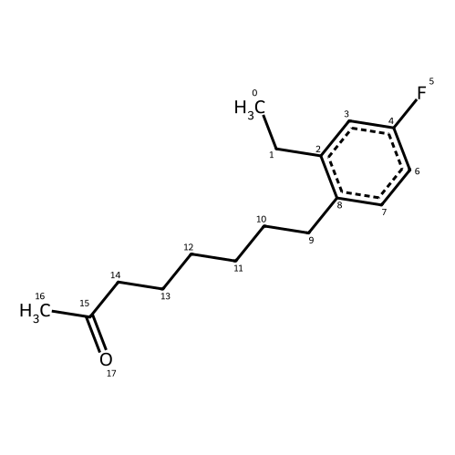 CCc1cc(F)ccc1CCCCCCC(C)=O